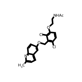 CC(=O)NCCOc1ccc(Cl)c(COc2ccc3nc(C)ccc3c2)c1Cl